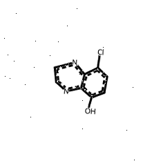 Oc1ccc(Cl)c2nccnc12